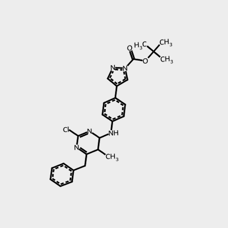 CC1C(Cc2ccccc2)=NC(Cl)=NC1Nc1ccc(-c2cnn(C(=O)OC(C)(C)C)c2)cc1